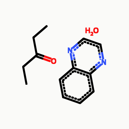 CCC(=O)CC.O.c1ccc2nccnc2c1